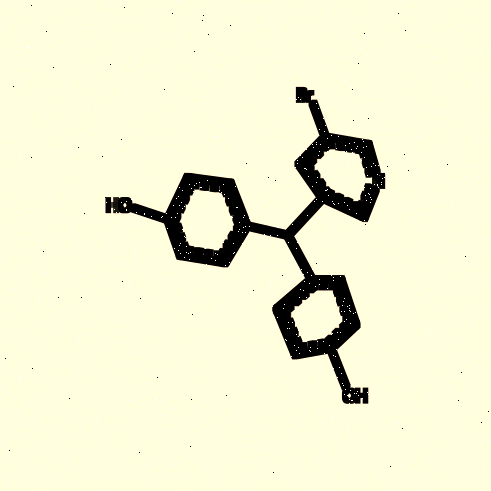 Oc1ccc(C(c2ccc(O)cc2)c2cncc(Br)c2)cc1